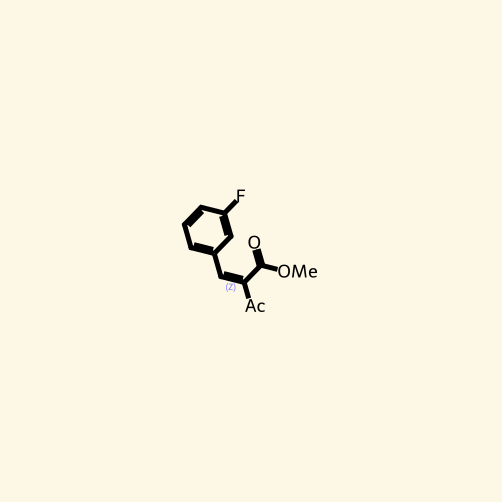 COC(=O)/C(=C\c1cccc(F)c1)C(C)=O